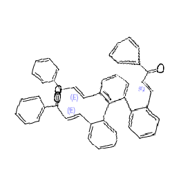 O=C(/C=C/c1ccccc1-c1cccc(/C=C/C(=O)c2ccccc2)c1-c1ccccc1/C=C/C(=O)c1ccccc1)c1ccccc1